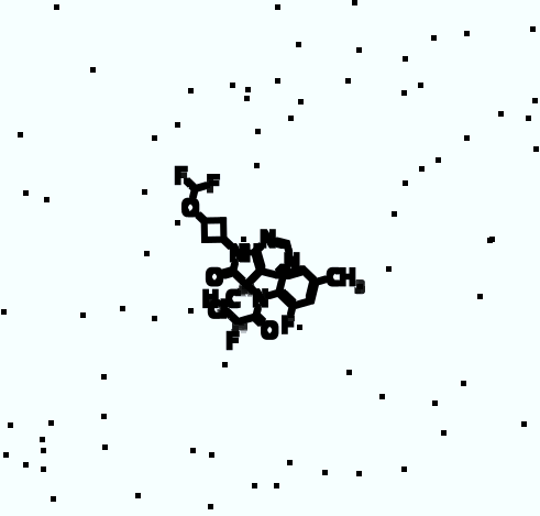 Cc1ccc(N(C(=O)[C@H](F)Cl)[C@@](C)(C(=O)NC2CC(OC(F)F)C2)c2cncnc2)c(F)c1